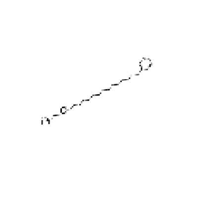 CC(C)CCOCCCCCCCCCCCCCCCc1ccccc1